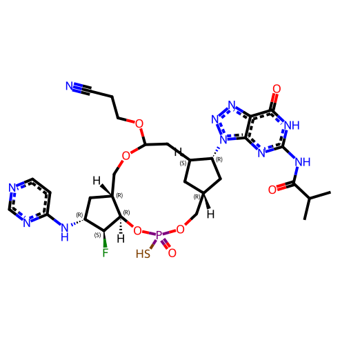 CC(C)C(=O)Nc1nc2c(nnn2[C@@H]2C[C@@H]3COP(=O)(S)O[C@@H]4[C@@H](COC(OCCC#N)C[C@@H]2C3)C[C@@H](Nc2ccncn2)[C@@H]4F)c(=O)[nH]1